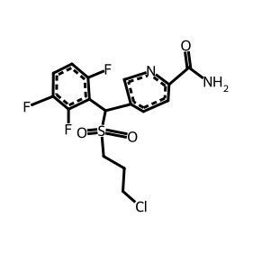 NC(=O)c1ccc(C(c2c(F)ccc(F)c2F)S(=O)(=O)CCCCl)cn1